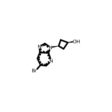 O[C@H]1C[C@@H](n2cnc3cc(Br)cnc32)C1